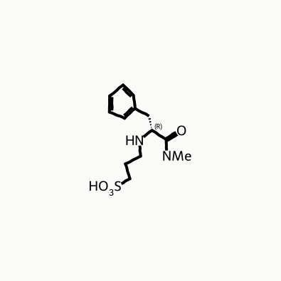 CNC(=O)[C@@H](Cc1ccccc1)NCCCS(=O)(=O)O